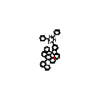 c1ccc(-c2nc(-c3ccccc3)nc(-c3ccc4c(c3)C(c3ccccc3)(c3c5ccccc5c(-c5cccc6ccccc56)c5ccccc35)c3ccccc3-4)n2)cc1